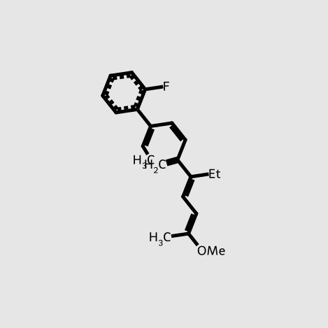 C=C(/C=C\C(=C/C)c1ccccc1F)/C(=C/C=C(\C)OC)CC